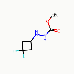 CC(C)(C)OC(=O)NNC1CC(F)(F)C1